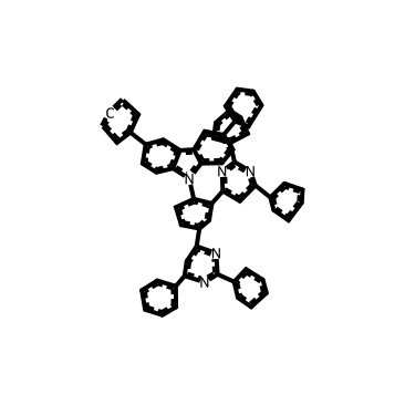 c1ccc(-c2ccc3c(c2)c2cc(-c4ccccc4)ccc2n3-c2ccc(-c3cc(-c4ccccc4)nc(-c4ccccc4)n3)cc2-c2cc(-c3ccccc3)nc(-c3ccccc3)n2)cc1